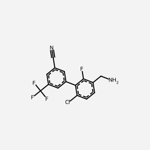 N#Cc1cc(-c2c(Cl)ccc(CN)c2F)cc(C(F)(F)F)c1